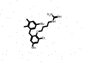 CCc1cc(C(C)(C)C)cc(Cc2cc(C(C)(C)C)cc(C)c2C)c1OCCCCNC(=N)N